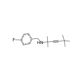 CC(C)(C)C#CC(C)(C)NCc1ccc(F)cc1